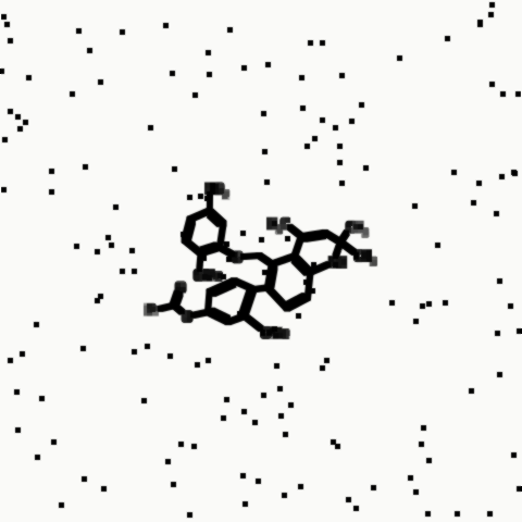 COc1ccc([N+](=O)[O-])cc1OCc1c(-c2ccc(OC(=O)C(C)C)cc2OC)ccc2c1C(C)=CC(C)(C)N2